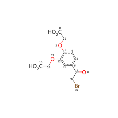 O=C(O)COc1ccc(C(=O)CBr)cc1OCC(=O)O